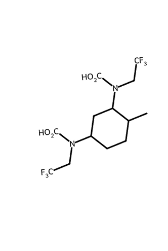 CC1CCC(N(CC(F)(F)F)C(=O)O)CC1N(CC(F)(F)F)C(=O)O